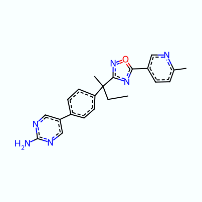 CCC(C)(c1ccc(-c2cnc(N)nc2)cc1)c1noc(-c2ccc(C)nc2)n1